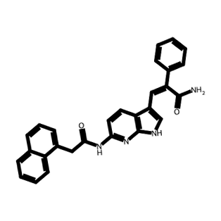 NC(=O)C(=Cc1c[nH]c2nc(NC(=O)Cc3cccc4ccccc34)ccc12)c1ccccc1